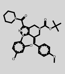 COc1ccc(C=C2CN(C(=O)OC(C)(C)C)Cc3c(C(=O)N4CCCCC4)nn(-c4ccc(Cl)cc4Cl)c32)cc1